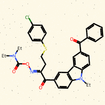 CCN(CC)C(=O)O/N=C(\CCSc1ccc(Cl)cc1)C(=O)c1ccc2c(c1)c1cc(C(=O)c3ccccc3)ccc1n2CC